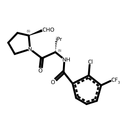 CC(C)[C@H](NC(=O)c1cccc(C(F)(F)F)c1Cl)C(=O)N1CCC[C@H]1C=O